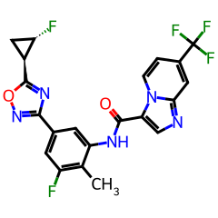 Cc1c(F)cc(-c2noc([C@H]3C[C@@H]3F)n2)cc1NC(=O)c1cnc2cc(C(F)(F)F)ccn12